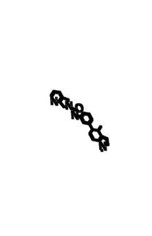 CC1c2ccn(C)c2C=CC1c1ccc2oc(N3Cc4cccnc4C3)nc2c1